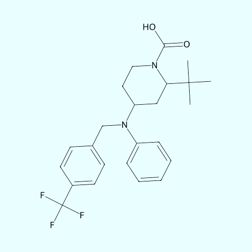 CC(C)(C)C1CC(N(Cc2ccc(C(F)(F)F)cc2)c2ccccc2)CCN1C(=O)O